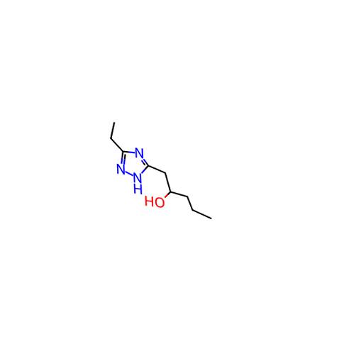 CCCC(O)Cc1nc(CC)n[nH]1